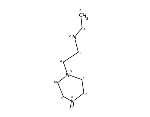 CC[N]CCN1CCNCC1